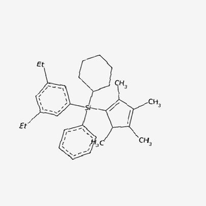 CCc1cc(CC)cc([Si](C2=C(C)C(C)=C(C)C2C)(c2ccccc2)C2CCCCC2)c1